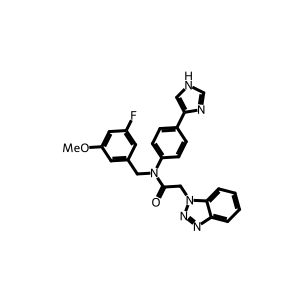 COc1cc(F)cc(CN(C(=O)Cn2nnc3ccccc32)c2ccc(-c3c[nH]cn3)cc2)c1